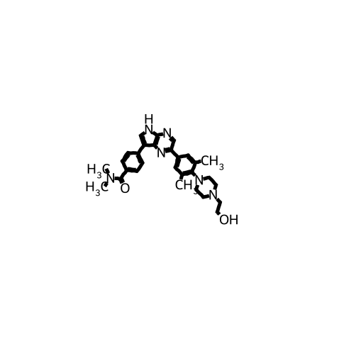 Cc1cc(-c2cnc3[nH]cc(-c4ccc(C(=O)N(C)C)cc4)c3n2)cc(C)c1N1CCN(CCO)CC1